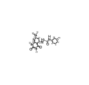 Cc1cccc(NC(=O)CNc2cc(N(C)C)nc3c2c(=O)n(C)c(=O)n3C)c1